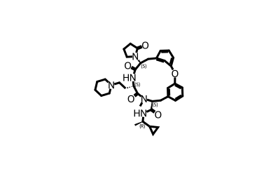 C[C@@H](NC(=O)[C@@H]1Cc2cccc(c2)Oc2cccc(c2)C[C@H](N2CCCC2=O)C(=O)N[C@@H](CCN2CCCCC2)C(=O)N1C)C1CC1